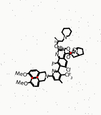 COc1ccc(CN(Cc2ccc(OC)cc2)c2cc(C)c(C(F)(F)F)c(-c3c(Cl)cc4c(N5CC6CCC(C5)N6C(=O)OC(C)(C)C)nc(O[C@@H](C)CN5CCCCC5)nc4c3F)n2)cc1